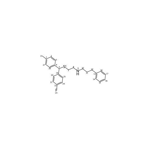 Cc1ccc(C(SCCNCCCc2ccccc2)c2ccc(F)cc2)cc1